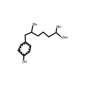 CCCCCCCCCCC(CCCC(Cc1ccc(O)cc1)C(C)(C)C)C(C)(C)C